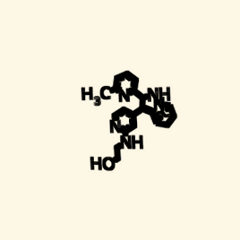 Cc1cccc(C2NN3C(=C2c2ccnc(NCCO)c2)C2CCC3CC2)n1